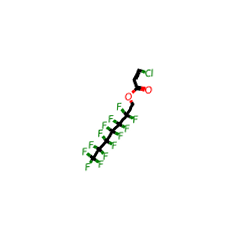 O=C(/C=C\Cl)OCC(F)(F)C(F)(F)C(F)(F)C(F)(F)C(F)(F)C(F)(F)F